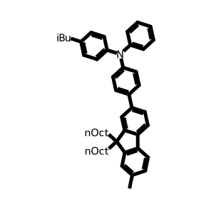 CCCCCCCCC1(CCCCCCCC)c2cc(C)ccc2-c2ccc(-c3ccc(N(c4ccccc4)c4ccc(C(C)CC)cc4)cc3)cc21